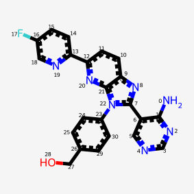 Nc1ncncc1-c1nc2ccc(-c3ccc(F)cn3)nc2n1-c1ccc(CO)cc1